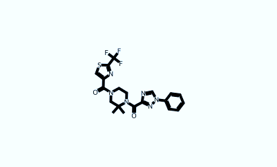 CC1(C)CN(C(=O)c2csc(C(F)(F)F)n2)CCN1C(=O)c1ncn(-c2ccccc2)n1